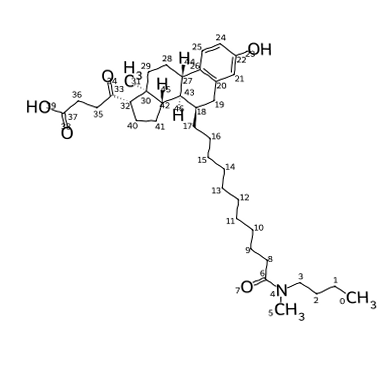 CCCCN(C)C(=O)CCCCCCCCCC[C@@H]1Cc2cc(O)ccc2[C@H]2CC[C@]3(C)[C@@H](C(=O)CCC(=O)O)CC[C@H]3[C@H]12